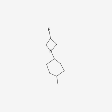 CC1CCC(N2CC(F)C2)CC1